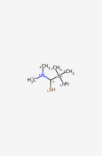 CCC[Si](C)(C)C(S)N(C)C